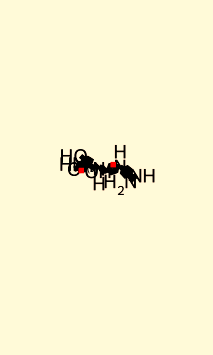 N=C(N)c1ccc(Nc2ccc(CCNC[C@@H](O)c3ccc(O)c4[nH]c(=O)ccc34)cc2)cc1